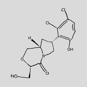 O=C1[C@@H](CO)OC[C@@H]2C[C@H](c3c(O)ccc(Cl)c3Cl)CN12